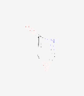 O=c1[nH]c2oc1=2